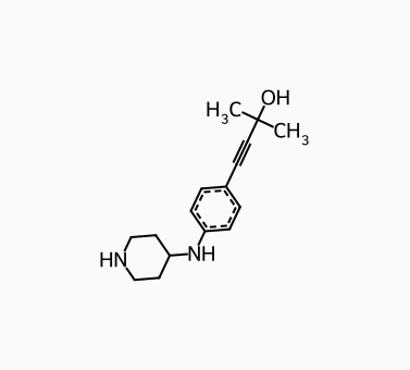 CC(C)(O)C#Cc1ccc(NC2CCNCC2)cc1